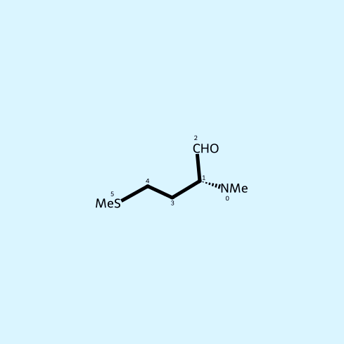 CN[C@@H](C=O)CCSC